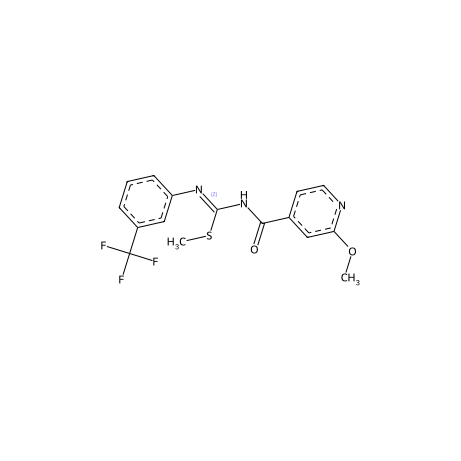 COc1cc(C(=O)N/C(=N/c2cccc(C(F)(F)F)c2)SC)ccn1